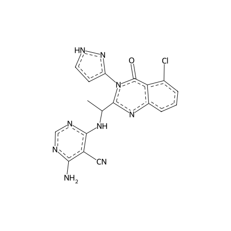 CC(Nc1ncnc(N)c1C#N)c1nc2cccc(Cl)c2c(=O)n1-c1cc[nH]n1